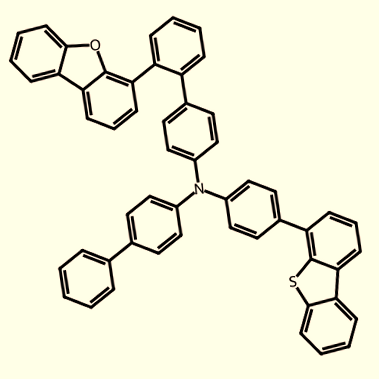 c1ccc(-c2ccc(N(c3ccc(-c4ccccc4-c4cccc5c4oc4ccccc45)cc3)c3ccc(-c4cccc5c4sc4ccccc45)cc3)cc2)cc1